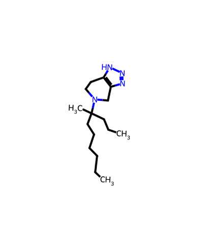 CCCCCCC(C)(CCC)N1CCc2[nH]nnc2C1